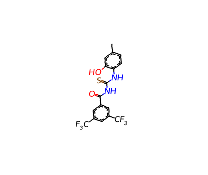 Cc1ccc(NC(=S)NC(=O)c2cc(C(F)(F)F)cc(C(F)(F)F)c2)c(O)c1